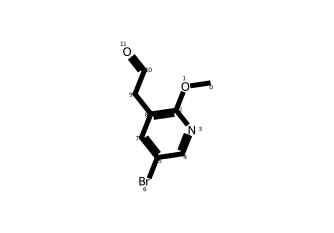 COc1ncc(Br)cc1CC=O